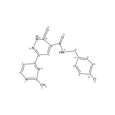 Cc1nccc(-c2cc(C(=O)NCc3ccc(Cl)cc3)c(=O)[nH]n2)n1